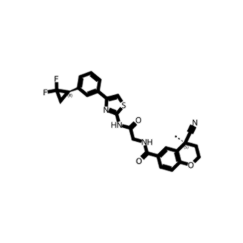 C[C@]1(C#N)CCOc2ccc(C(=O)NCC(=O)Nc3nc(-c4cccc([C@H]5CC5(F)F)c4)cs3)cc21